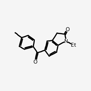 CCN1C(=O)Cc2cc(C(=O)c3ccc(C)cc3)ccc21